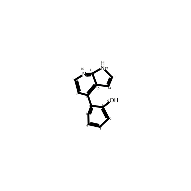 Oc1c[c]ccc1-c1ccnc2[nH]ccc12